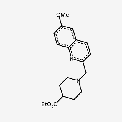 CCOC(=O)C1CCN(Cc2ccc3cc(OC)ccc3n2)CC1